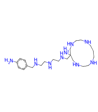 Nc1ccc(CNCCNCCNCC2(N)CNCCNCCCNCCNC2)cc1